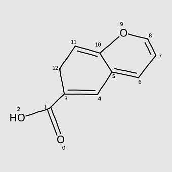 O=C(O)C1=CC2=CC=COC2=CC1